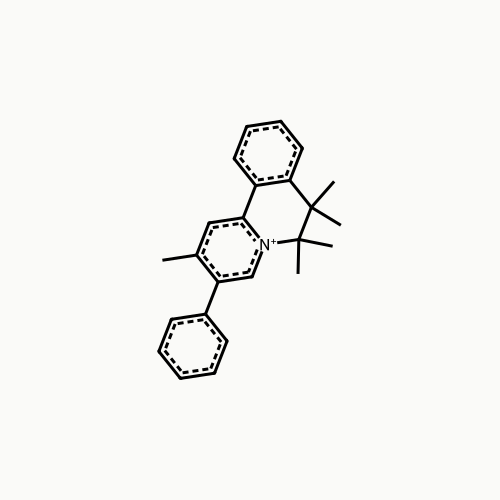 Cc1cc2[n+](cc1-c1ccccc1)C(C)(C)C(C)(C)c1ccccc1-2